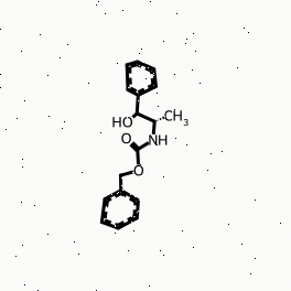 C[C@H](NC(=O)OCc1ccccc1)C(O)c1ccccc1